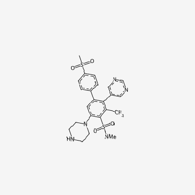 CNS(=O)(=O)c1c(N2CCNCC2)cc(-c2ccc(S(C)(=O)=O)cc2)c(-c2cncnc2)c1C(F)(F)F